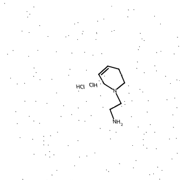 Cl.Cl.NCCN1CC=CCC1